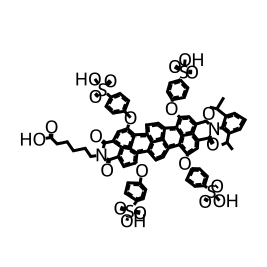 CC(C)c1cccc(C(C)C)c1N1C(=O)c2cc(Oc3ccc(S(=O)(=O)O)cc3)c3c4ccc5c6c(Oc7ccc(S(=O)(=O)O)cc7)cc7c8c(cc(Oc9ccc(S(=O)(=O)O)cc9)c(c9ccc(c%10c(Oc%11ccc(S(=O)(=O)O)cc%11)cc(c2c3%10)C1=O)c4c59)c86)C(=O)N(CCCCCC(=O)O)C7=O